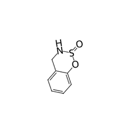 O=S1NCc2ccccc2O1